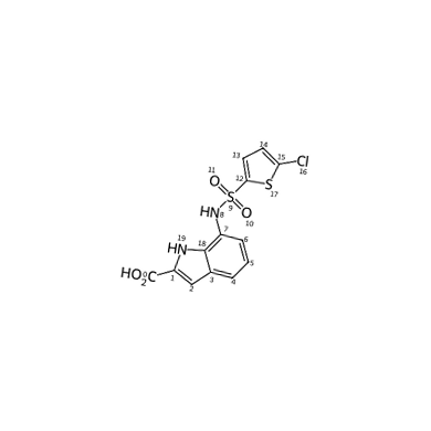 O=C(O)c1cc2cccc(NS(=O)(=O)c3ccc(Cl)s3)c2[nH]1